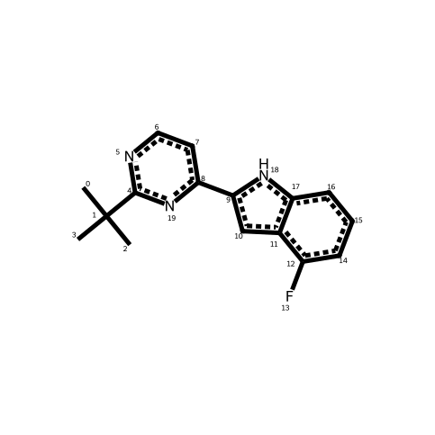 CC(C)(C)c1nccc(-c2cc3c(F)cccc3[nH]2)n1